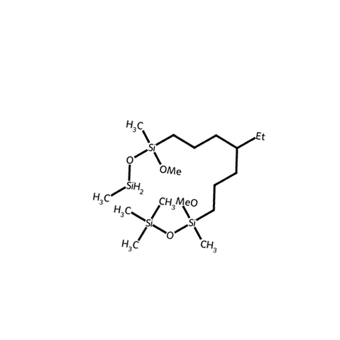 CCC(CCC[Si](C)(OC)O[SiH2]C)CCC[Si](C)(OC)O[Si](C)(C)C